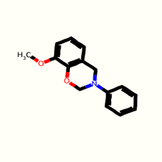 COc1cccc2c1OCN(c1ccccc1)C2